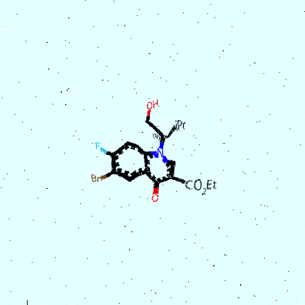 CCOC(=O)c1cn([C@@H](CO)C(C)C)c2cc(F)c(Br)cc2c1=O